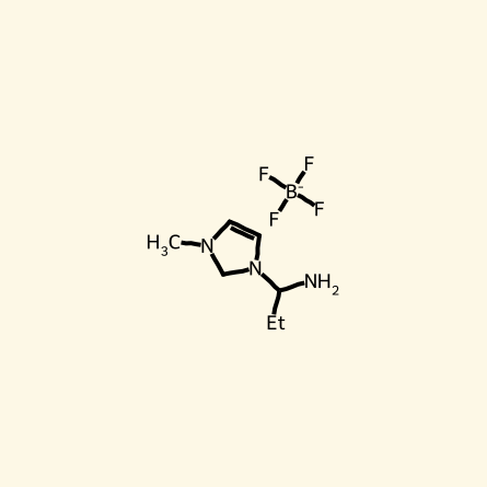 CCC(N)N1C=CN(C)C1.F[B-](F)(F)F